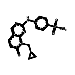 NS(=O)(=O)c1ccc(Nc2ncc3ccc(=O)n(CC4CC4)c3n2)cc1